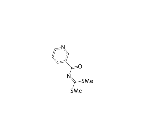 CSC(=NC(=O)c1cccnc1)SC